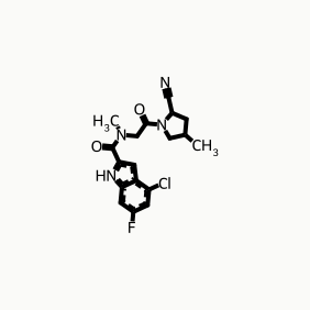 CC1CC(C#N)N(C(=O)CN(C)C(=O)c2cc3c(Cl)cc(F)cc3[nH]2)C1